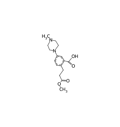 COC(=O)CCc1ccc(N2CCN(C)CC2)cc1C(=O)O